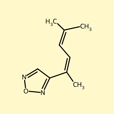 CC(C)=C/C=C(/C)c1cnon1